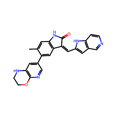 Cc1cc2c(cc1-c1cnc3c(c1)NCCO3)C(=Cc1cc3cnccc3[nH]1)C(=O)N2